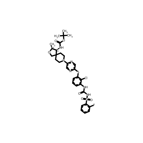 C[C@@H]1OCC2(CCN(c3cnc(Sc4cccc(NC(=O)NS(=O)(=O)c5ccccc5F)c4Cl)cn3)CC2)[C@@H]1NC(=O)OC(C)(C)C